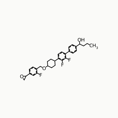 CCCC(O)c1ccc(-c2ccc(C3CCC(OCc4ccc(C5CO5)cc4F)CC3)c(F)c2F)cc1